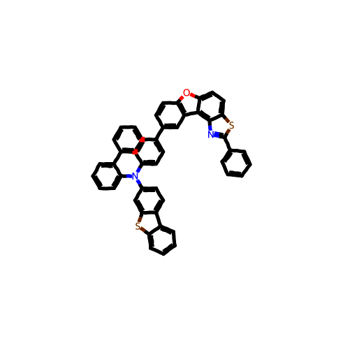 c1ccc(-c2nc3c(ccc4oc5ccc(-c6ccc(N(c7ccc8c(c7)sc7ccccc78)c7ccccc7-c7ccccc7)cc6)cc5c43)s2)cc1